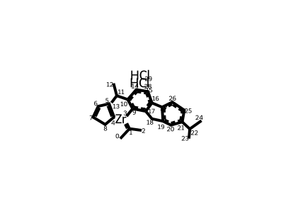 C[C](C)=[Zr]([C]1=CC=CC1)[c]1c(C(C)C)ccc2c1Cc1cc(C(C)C)ccc1-2.Cl.Cl